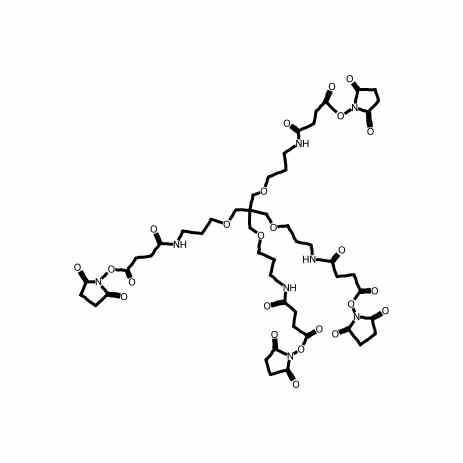 O=C(CCC(=O)ON1C(=O)CCC1=O)NCCCOCC(COCCCNC(=O)CCC(=O)ON1C(=O)CCC1=O)(COCCCNC(=O)CCC(=O)ON1C(=O)CCC1=O)COCCCNC(=O)CCC(=O)ON1C(=O)CCC1=O